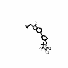 CCN1C(=O)N(Cc2ccc(-c3ccc4c(c3)CN(CC3CC3)C4=O)cc2)C(C)(C)C1=O